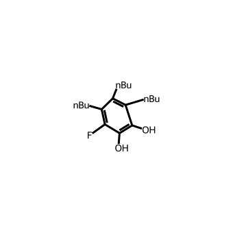 CCCCc1c(O)c(O)c(F)c(CCCC)c1CCCC